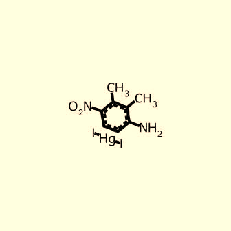 Cc1c(N)ccc([N+](=O)[O-])c1C.[I][Hg][I]